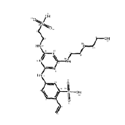 C=Cc1ccc(Nc2nc(NCCOCCO)nc(NCCS(=O)(=O)O)n2)cc1S(=O)(=O)O